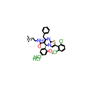 COc1ccccc1[C@H]1C(C(=O)NCC[As](C)C)=C(Cc2ccccc2)N=C2SC(c3c(Cl)cccc3Cl)=CN21.Cl.Cl